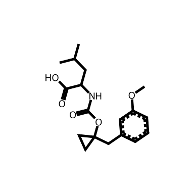 COc1cccc(CC2(OC(=O)NC(CC(C)C)C(=O)O)CC2)c1